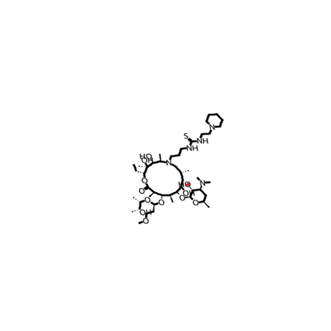 CC[C@H]1OC(=O)[C@H](C)[C@@H](O[C@@H](CCOC)O[C@@H](C)[C@@H](C)O)[C@H](C)[C@@H](O[C@@H]2O[C@H](C)C[C@H](N(C)C)[C@H]2O)[C@](C)(O)C[C@@H](C)CN(CCCNC(=S)NCCN2CCCCC2)[C@H](C)[C@@H](O)[C@]1(C)O